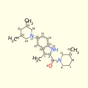 Cc1c(C(=O)N2CCCC(C)C2)[nH]c2ccc(N3CC(C)CC(C)C3)cc12